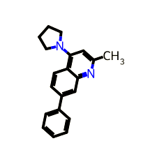 Cc1cc(N2CCCC2)c2ccc(-c3ccccc3)cc2n1